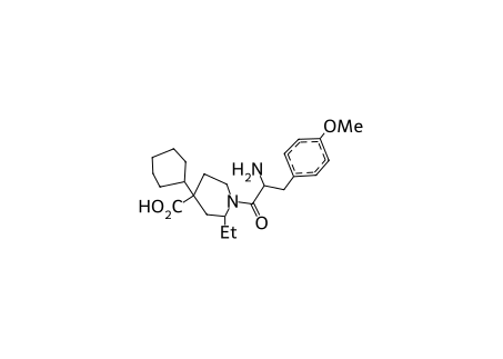 CCC1CC(C(=O)O)(C2CCCCC2)CCN1C(=O)C(N)Cc1ccc(OC)cc1